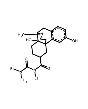 CCN(C)C(=O)N(CC)C(=O)C1CCC2(O)C3Cc4ccc(O)cc4C2(CCN3C)C1